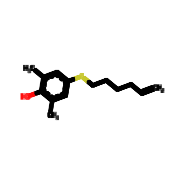 C=CCCCCSc1cc(C)c(O)c(C)c1